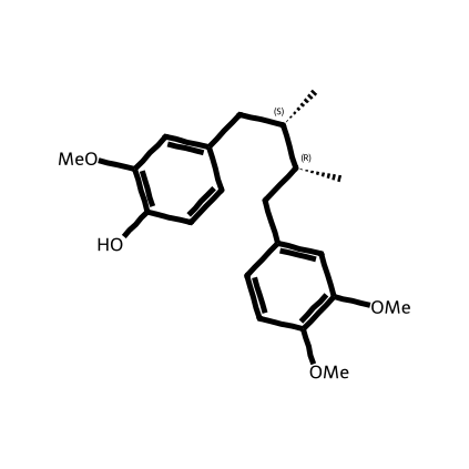 COc1cc(C[C@H](C)[C@H](C)Cc2ccc(OC)c(OC)c2)ccc1O